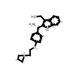 CCc1c([C@@H](N)c2ccc(OCCN3CCC3)cc2)[nH]c2ccccc12